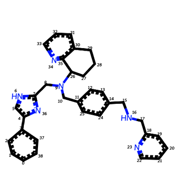 c1ccc(-c2c[nH]c(CN(Cc3ccc(CNCc4ccccn4)cc3)C3CCCc4cccnc43)n2)cc1